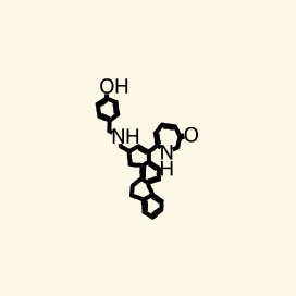 O=C1C=CC=C(C2=CC(CNCc3ccc(O)cc3)Cc3c2ccc2c3CCc3ccccc3-2)NC1